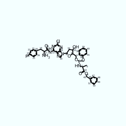 CC(NP(OCC1OC(n2cnc3c(NC(=O)C(N)Cc4ccc(F)cc4)nc(Cl)nc32)CC1O)Oc1ccccc1)C(=O)OCc1ccccc1